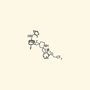 CC1(Cc2ccnc(OCC(F)(F)F)c2F)CC(Cc2nc(Nc3nccs3)ccc2F)(C(=O)O)CCN1